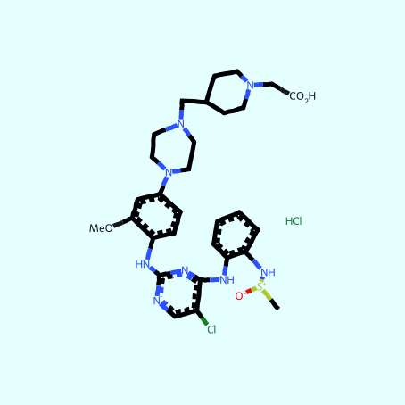 COc1cc(N2CCN(CC3CCN(CC(=O)O)CC3)CC2)ccc1Nc1ncc(Cl)c(Nc2ccccc2N[S+](C)[O-])n1.Cl